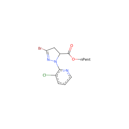 CCCCCOC(=O)C1CC(Br)=NN1c1ncccc1Cl